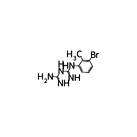 Cc1c(Br)cccc1NC(=N)NC(=N)N